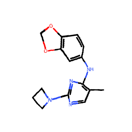 Cc1cnc(N2CCC2)nc1Nc1ccc2c(c1)OCO2